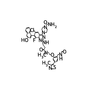 Cc1ncsc1-c1ccc(CNC=O)c(OCCN(C)C(=O)CCNc2nc(N3CCN(C(N)=O)CC3)c3cc(Cl)c(-c4cc(O)cc5ccccc45)c(F)c3n2)c1